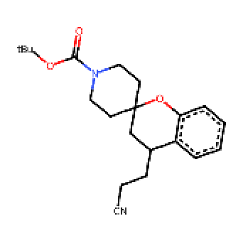 CC(C)(C)OC(=O)N1CCC2(CC1)CC(CCC#N)c1ccccc1O2